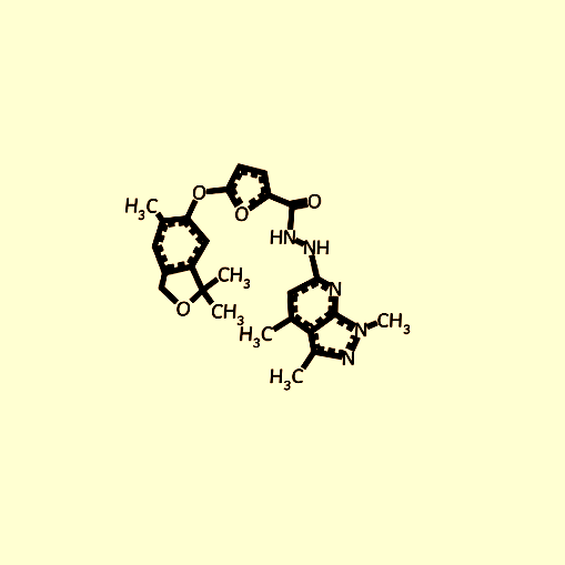 Cc1cc2c(cc1Oc1ccc(C(=O)NNc3cc(C)c4c(C)nn(C)c4n3)o1)C(C)(C)OC2